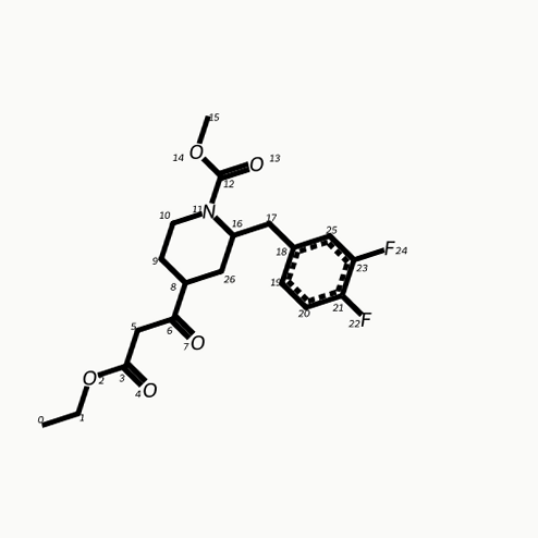 CCOC(=O)CC(=O)C1CCN(C(=O)OC)C(Cc2ccc(F)c(F)c2)C1